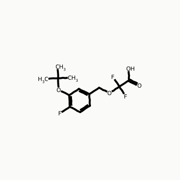 CC(C)(C)Oc1cc(COC(F)(F)C(=O)O)ccc1F